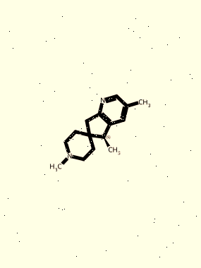 Cc1cnc2c(c1)[C@@H](C)C1(CCN(C)CC1)C2